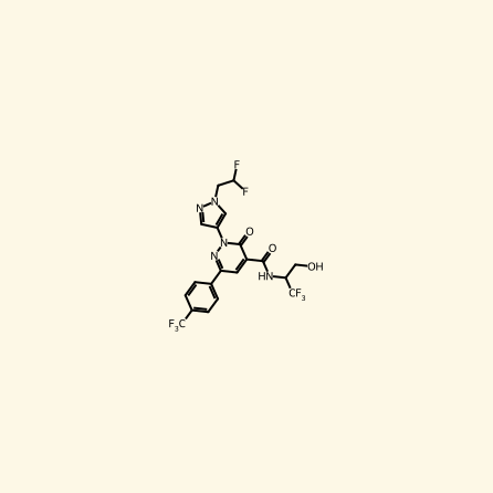 O=C(NC(CO)C(F)(F)F)c1cc(-c2ccc(C(F)(F)F)cc2)nn(-c2cnn(CC(F)F)c2)c1=O